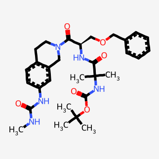 CNC(=O)Nc1ccc2c(c1)CN(C(=O)[C@@H](COCc1ccccc1)NC(=O)C(C)(C)NC(=O)OC(C)(C)C)CC2